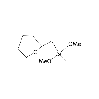 CO[Si](C)(CC1CCCCC1)OC